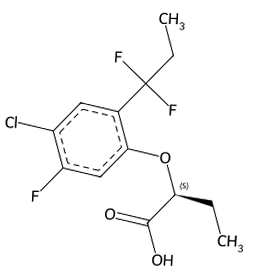 CC[C@H](Oc1cc(F)c(Cl)cc1C(F)(F)CC)C(=O)O